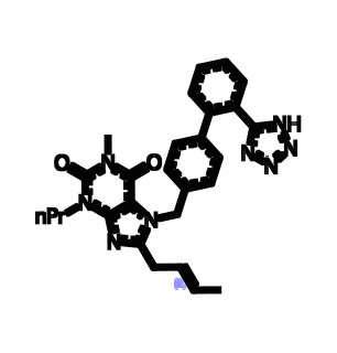 C/C=C/Cc1nc2c(c(=O)n(C)c(=O)n2CCC)n1Cc1ccc(-c2ccccc2-c2nnn[nH]2)cc1